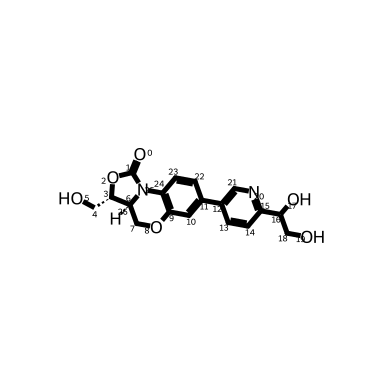 O=C1O[C@@H](CO)[C@@H]2COc3cc(-c4ccc(C(O)CO)nc4)ccc3N12